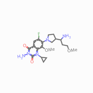 COCCC(N)C1CCN(c2c(F)cc3c(=O)n(N)c(=O)n(C4CC4)c3c2OC)C1